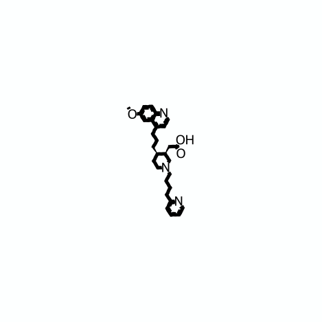 COc1ccc2nccc(CCC[C@@H]3CCN(CCCCc4ccccn4)C[C@@H]3CC(=O)O)c2c1